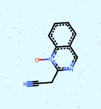 N#CCc1ncc2ccccc2[n+]1[O-]